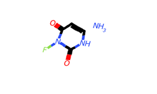 N.O=c1cc[nH]c(=O)n1F